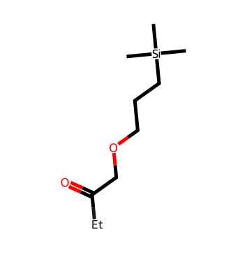 CCC(=O)COCCC[Si](C)(C)C